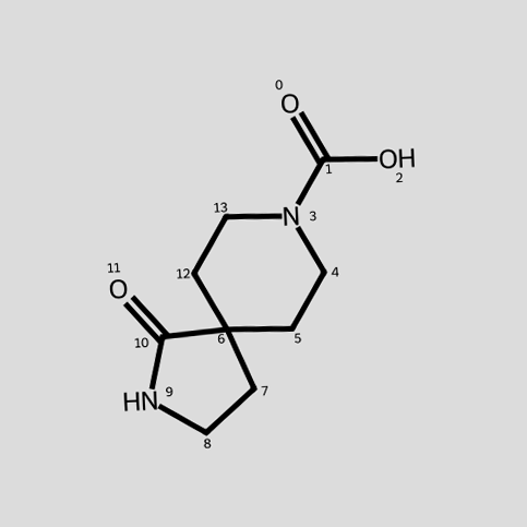 O=C(O)N1CCC2(CCNC2=O)CC1